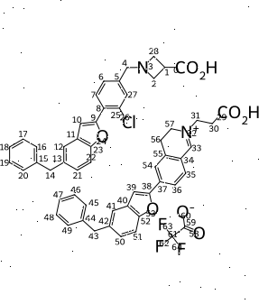 O=C(O)C1CN(Cc2ccc(-c3cc4cc(Cc5ccccc5)ccc4o3)c(Cl)c2)C1.O=C(O)CC[N+]1=Cc2ccc(-c3cc4cc(Cc5ccccc5)ccc4o3)cc2CC1.O=C([O-])C(F)(F)F